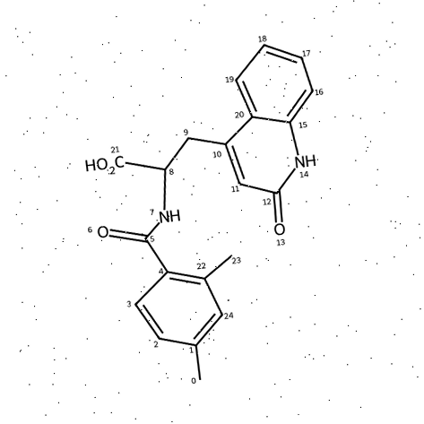 Cc1ccc(C(=O)NC(Cc2cc(=O)[nH]c3ccccc23)C(=O)O)c(C)c1